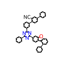 N#Cc1cc(-c2ccccc2)ccc1-c1cccc(-c2nc(-c3ccccc3)nc(-c3ccc4c(c3)oc3cccc(-c5ccccc5)c34)n2)c1